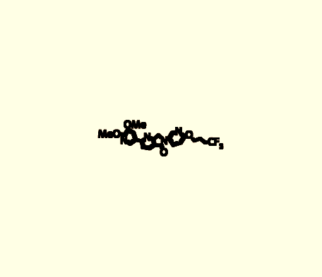 COc1cc(-c2ccc3c(n2)CN(c2ccc(OCCCC(F)(F)F)nc2)C3=O)cnc1OC